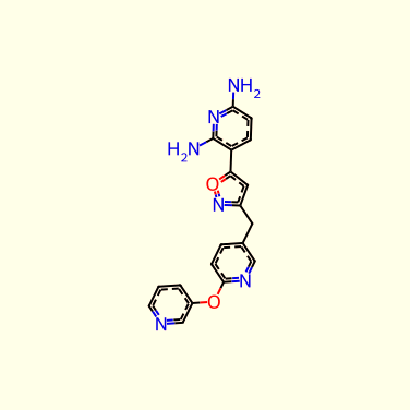 Nc1ccc(-c2cc(Cc3ccc(Oc4cccnc4)nc3)no2)c(N)n1